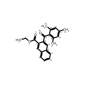 CCOC(=O)c1cc2ccccc2cc1C(=O)c1c(C)cc(C)cc1C